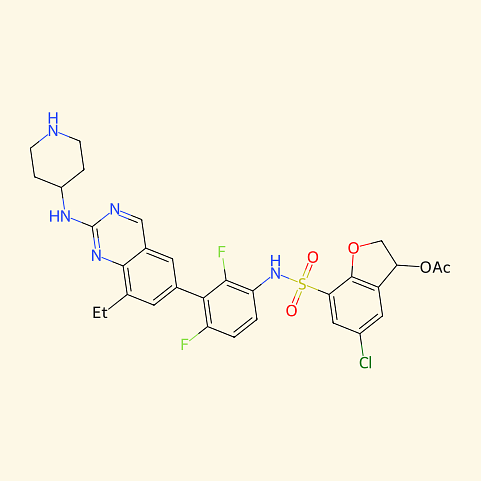 CCc1cc(-c2c(F)ccc(NS(=O)(=O)c3cc(Cl)cc4c3OCC4OC(C)=O)c2F)cc2cnc(NC3CCNCC3)nc12